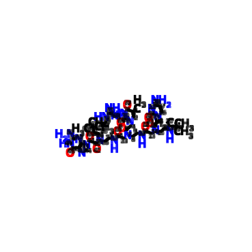 Cc1cn(CC(=O)N(CCNC(=O)CN(CCNC(C)(C)C)C(=O)Cn2ccc(N)nc2=O)CC(=O)NCCN(C(=O)Cn2cnc3c(=O)[nH]c(N)nc32)[C@@H](CCCNC(=N)N)C(=O)C(C)(C)C)c(=O)[nH]c1=O